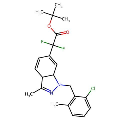 CC1=NN(Cc2c(C)cccc2Cl)C2C=C(C(F)(F)C(=O)OC(C)(C)C)C=CC12